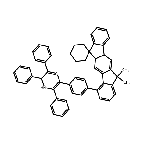 CC1(C)C2=CC3c4ccccc4C4(CCCCC4)C3C=C2c2c(-c3ccc(C4=C(c5ccccc5)NC(c5ccccc5)C(c5ccccc5)=N4)cc3)cccc21